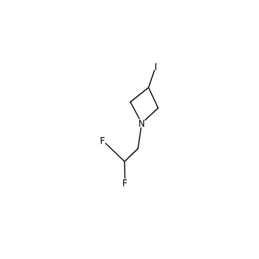 FC(F)CN1CC(I)C1